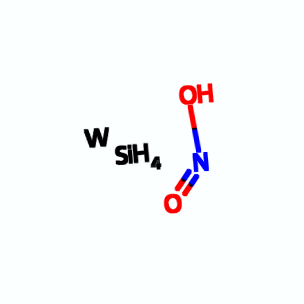 O=NO.[SiH4].[W]